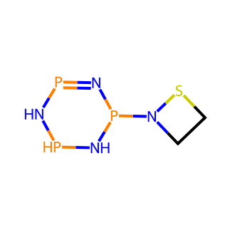 C1CN(p2np[nH][pH][nH]2)S1